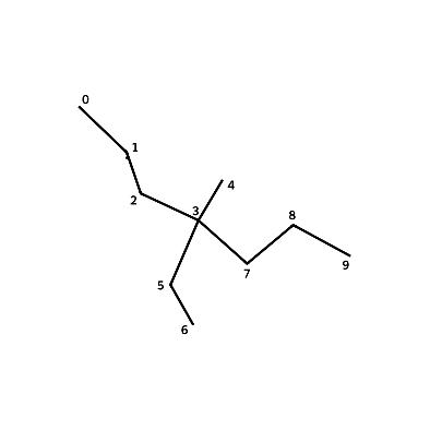 C[CH]CC(C)(CC)CCC